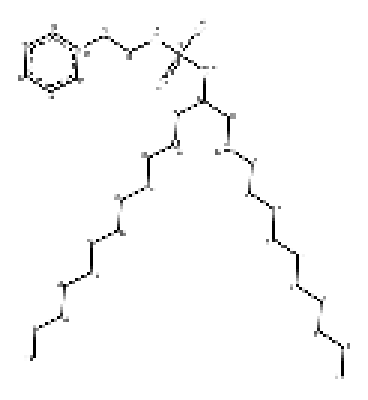 CCCCCCCCCCOCC(COCCCCCCCCCC)OP(=O)([O-])OCC[n+]1ccccc1